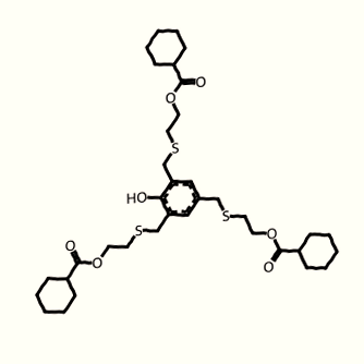 O=C(OCCSCc1cc(CSCCOC(=O)C2CCCCC2)c(O)c(CSCCOC(=O)C2CCCCC2)c1)C1CCCCC1